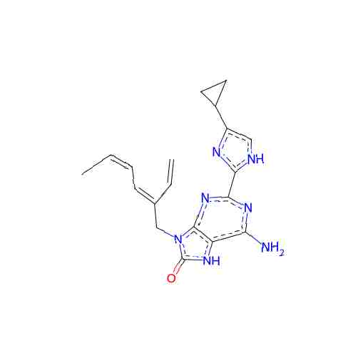 C=C/C(=C\C=C/C)Cn1c(=O)[nH]c2c(N)nc(-c3nc(C4CC4)c[nH]3)nc21